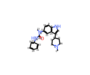 CN1CCC(c2c[nH]c3ccc(N(C)C(=O)Nc4ccccc4)cc23)CC1